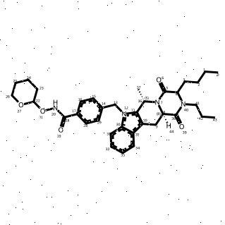 CCCCC1C(=O)N2[C@H](Cc3c(n(Cc4ccc(C(=O)NOC5CCCCO5)cc4)c4ccccc34)[C@@H]2C)C(=O)N1CCC